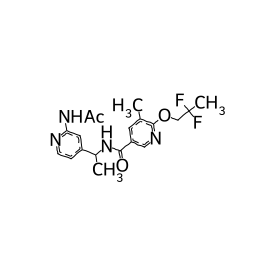 CC(=O)Nc1cc(C(C)NC(=O)c2cnc(OCC(C)(F)F)c(C)c2)ccn1